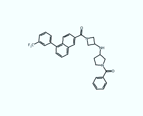 O=C(c1ccccc1)N1CCC(NC2CN(C(=O)c3ccc4c(-c5cccc(C(F)(F)F)c5)cccc4c3)C2)C1